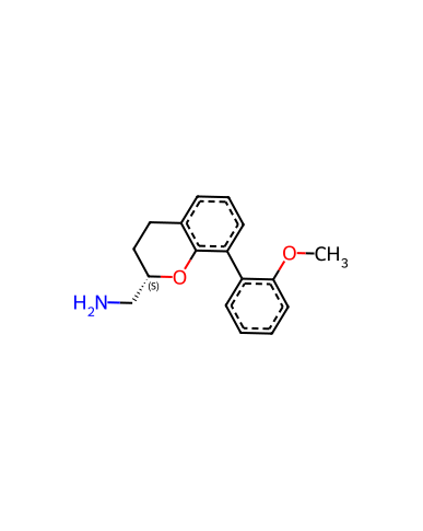 COc1ccccc1-c1cccc2c1O[C@H](CN)CC2